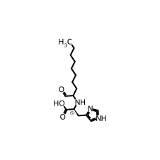 CCCCCCCCC(C=O)N[C@@H](Cc1c[nH]cn1)C(=O)O